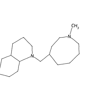 CN1CCCCC(CN2CCCC3CCCCC32)CC1